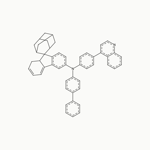 C1=CCC2C(=C1)c1cc(N(c3ccc(-c4ccccc4)cc3)c3ccc(-c4ccnc5ccccc45)cc3)ccc1C21C2CC3CC(C2)CC1C3